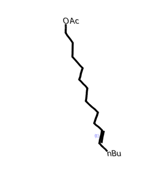 CCCC/C=C/CCCCCCCCCOC(C)=O